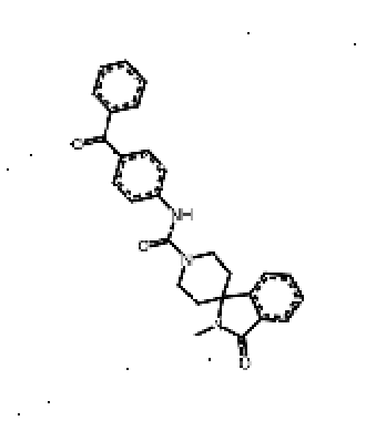 CN1C(=O)c2ccccc2C12CCN(C(=O)Nc1ccc(C(=O)c3ccccc3)cc1)CC2